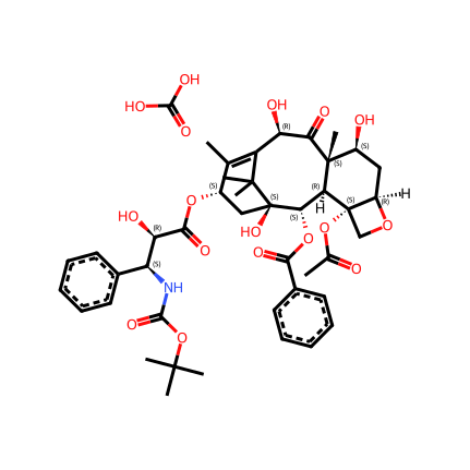 CC(=O)O[C@@]12CO[C@@H]1C[C@H](O)[C@@]1(C)C(=O)[C@H](O)C3=C(C)[C@@H](OC(=O)[C@H](O)[C@@H](NC(=O)OC(C)(C)C)c4ccccc4)C[C@@](O)([C@@H](OC(=O)c4ccccc4)[C@H]21)C3(C)C.O=C(O)O